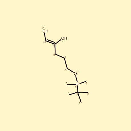 CC(C)(C)[Si](C)(C)OCCCC(O)=CO